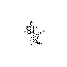 CC(C)(C)OC(=O)NCC1O[C@H](OC2C(CO)[C@@H](OC3O[C@H](CO)C(O)C4[C@H]3N4O)C(NC(=O)OC(C)(C)C)C[C@@H]2NC(=O)OC(C)(C)C)C(O)C(O)[C@@H]1O